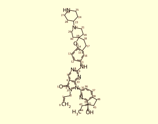 C=CCn1c(=O)c2cnc(Nc3ccc4c(c3)CCC3(CCN(C5CCNCC5)CC3)O4)nc2n1-c1ccc2c(n1)[C@@](O)(CC)CC2